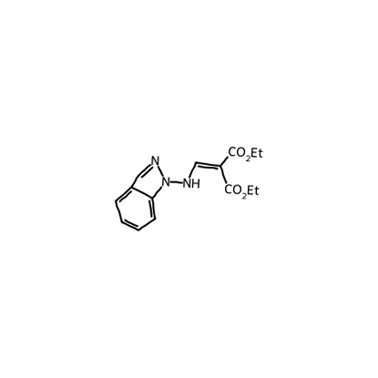 CCOC(=O)C(=CNn1ncc2ccccc21)C(=O)OCC